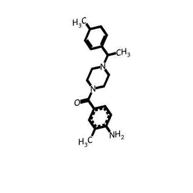 Cc1cc(C(=O)N2CCN(C(C)C3=CCC(C)C=C3)CC2)ccc1N